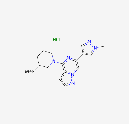 CNC1CCCN(c2nc(-c3cnn(C)c3)cn3nccc23)C1.Cl